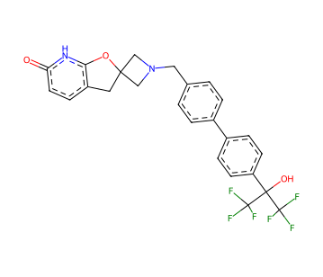 O=c1ccc2c([nH]1)OC1(C2)CN(Cc2ccc(-c3ccc(C(O)(C(F)(F)F)C(F)(F)F)cc3)cc2)C1